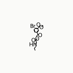 CCCNCC(=O)OCC(=O)c1ccc(Br)c(C(=O)OC)c1